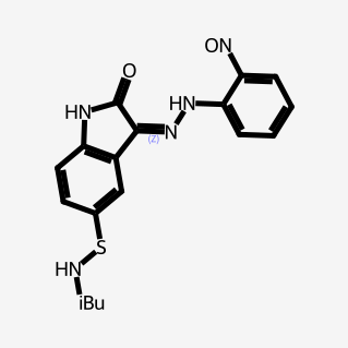 CCC(C)NSc1ccc2c(c1)/C(=N/Nc1ccccc1N=O)C(=O)N2